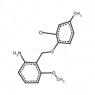 COc1cccc(N)c1COc1ccc(C)cc1Cl